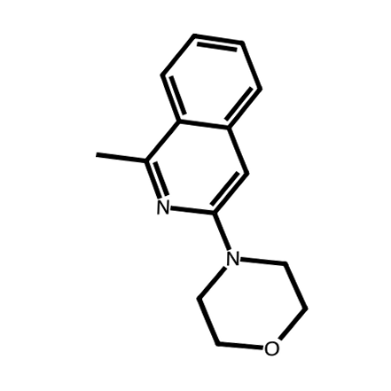 Cc1nc(N2CCOCC2)cc2ccccc12